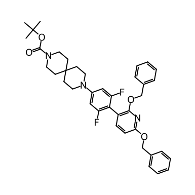 CC(C)(C)OC(=O)N1CCC2(CC1)CCN(c1cc(F)c(-c3ccc(OCc4ccccc4)nc3OCc3ccccc3)c(F)c1)CC2